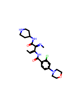 C/C=C(NC(=O)c1ccc(N2CCOCC2)cc1Cl)\C(=N/C)C(=O)NC1CCNCC1